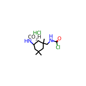 CC1(C)CC(NC(=O)O)CC(C)(CNC(=O)Cl)C1.Cl